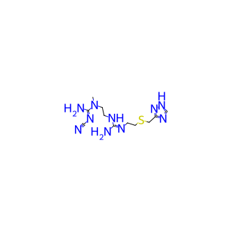 CN(CCNC(N)=NCCSCc1nc[nH]n1)C(N)=NC#N